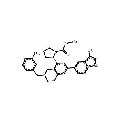 Cc1cc(CN2CCc3cc(-c4cnc5[nH]cc(C)c5c4)cc([C@@H]4CCCN4C(=O)OC(C)(C)C)c3C2)ccn1